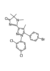 Cc1c(C2=NC(=O)C(C)(C)N2C)nn(-c2ccc(Cl)cc2Cl)c1-c1ccc(Br)cc1